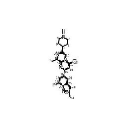 Cc1nc(C2CCNCC2)cn2c(=O)cc(-c3cc(F)c4nn(C)cc4c3)nc12